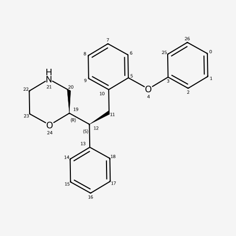 c1ccc(Oc2ccccc2C[C@@H](c2ccccc2)[C@@H]2CNCCO2)cc1